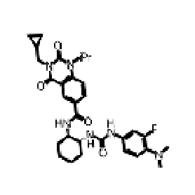 CC(C)n1c(=O)n(CC2CC2)c(=O)c2cc(C(=O)N[C@@H]3CCCC[C@H]3NC(=O)Nc3ccc(N(C)C)c(F)c3)ccc21